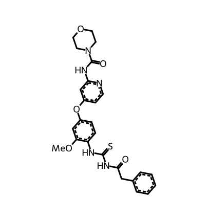 COc1cc(Oc2ccnc(NC(=O)N3CCOCC3)c2)ccc1NC(=S)NC(=O)Cc1ccccc1